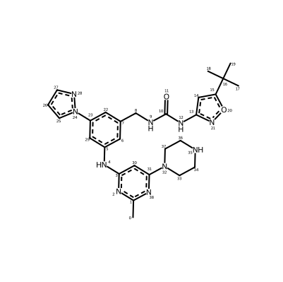 Cc1nc(Nc2cc(CNC(=O)Nc3cc(C(C)(C)C)on3)cc(-n3cccn3)c2)cc(N2CCNCC2)n1